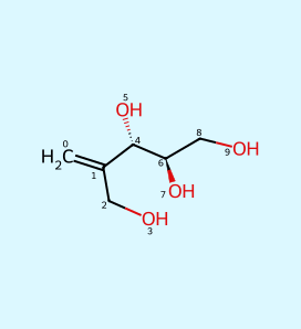 C=C(CO)[C@H](O)[C@H](O)CO